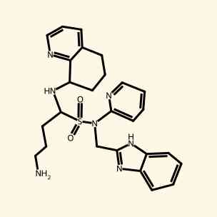 NCCCC(NC1CCCc2cccnc21)S(=O)(=O)N(Cc1nc2ccccc2[nH]1)c1ccccn1